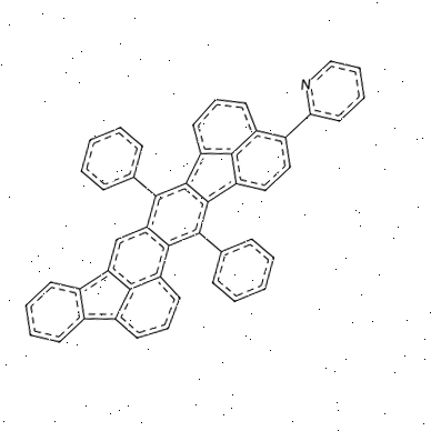 c1ccc(-c2c3cc4c5ccccc5c5cccc(c3c(-c3ccccc3)c3c6ccc(-c7ccccn7)c7cccc(c23)c76)c54)cc1